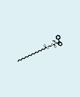 CCCCCCCCCCCCCCCCCC(=O)OCCOC(=O)N(CC)C1C2CCC(C2)C1c1ccccc1